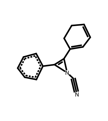 N#CN1C(C2=CC=CCC2)=C1c1ccccc1